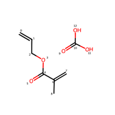 C=CCOC(=O)C(=C)C.O=C(O)O